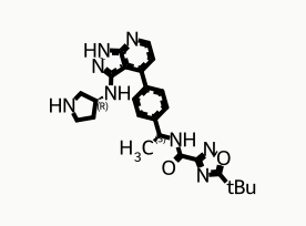 C[C@H](NC(=O)c1noc(C(C)(C)C)n1)c1ccc(-c2ccnc3[nH]nc(N[C@@H]4CCNC4)c23)cc1